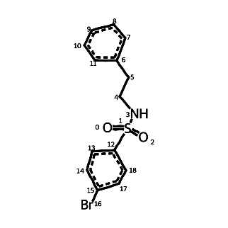 O=S(=O)(NCCc1cc[c]cc1)c1ccc(Br)cc1